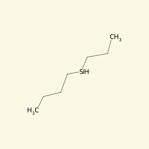 CCCC[SiH]CCC